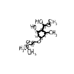 COC(O)c1c(C)cc(OCC[Si](C)(C)C)cc1O